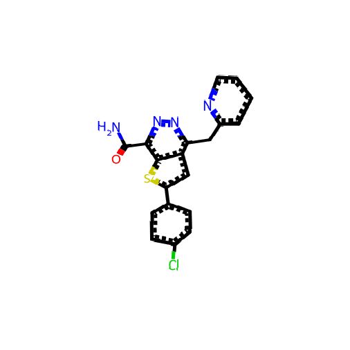 NC(=O)c1nnc(Cc2ccccn2)c2cc(-c3ccc(Cl)cc3)sc12